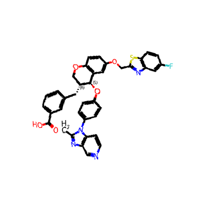 Cc1nc2cnccc2n1-c1ccc(O[C@@H]2c3cc(OCc4nc5cc(F)ccc5s4)ccc3OC[C@H]2Cc2cccc(C(=O)O)c2)cc1